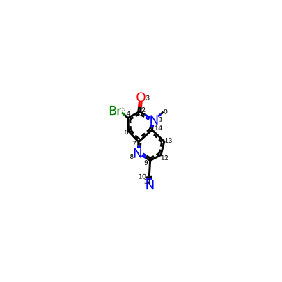 Cn1c(=O)c(Br)[c]c2nc(C#N)ccc21